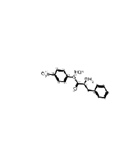 Cl.N[C@@H](Cc1ccccc1)C(=O)Oc1ccc([N+](=O)[O-])cc1